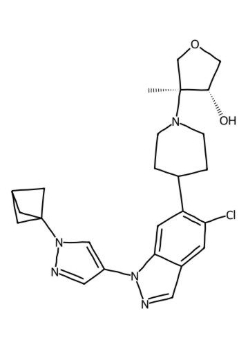 C[C@]1(N2CCC(c3cc4c(cnn4-c4cnn(C56CC(C5)C6)c4)cc3Cl)CC2)COC[C@@H]1O